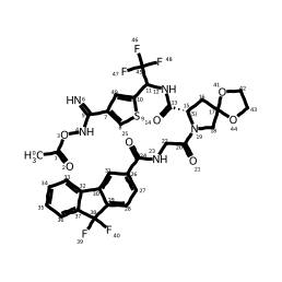 CC(=O)ONC(=N)c1csc(C(NC(=O)[C@@H]2CC3(CN2C(=O)CNC(=O)c2ccc4c(c2)-c2ccccc2C4(F)F)OCCO3)C(F)(F)F)c1